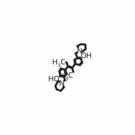 CC/C(=C(/CC)c1ccc(O)c(CN2CCCCC2)c1)c1ccc(O)c(CN2CCCCC2)c1